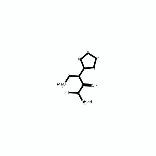 CCCCCCCC(I)C(=O)C(COC)C1CCCC1